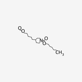 CCCCCCOC(=O)N1CCC(CCCCCOC=O)CC1